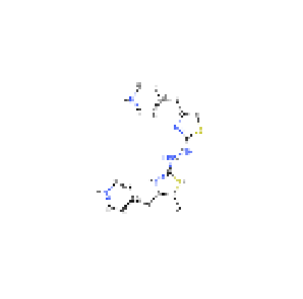 CC1SC(NNC2=NC(Cc3ccncc3)CS2)=NC1Cc1ccncc1